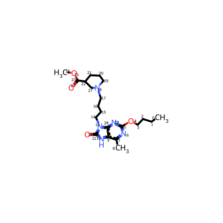 CCCCOc1nc(C)c2[nH]c(=O)n(CCCCN3CCCC(C(=O)OC)C3)c2n1